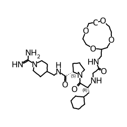 N=C(N)N1CCC(CNC(=O)[C@@H]2CCCN2C(=O)[C@@H](CC2CCCCC2)NCC(=O)NCC2COCCOCCOCCO2)CC1